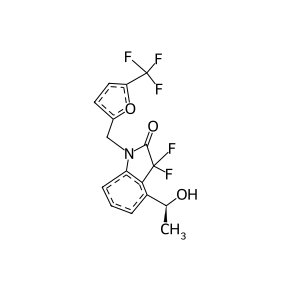 C[C@H](O)c1cccc2c1C(F)(F)C(=O)N2Cc1ccc(C(F)(F)F)o1